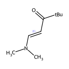 CN(C)/C=C/C(=O)C(C)(C)C